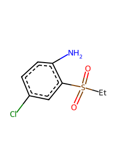 CCS(=O)(=O)c1cc(Cl)ccc1N